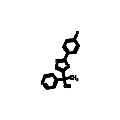 CC(O)(c1ccncc1)c1cnc(-c2ccc(F)cc2)s1